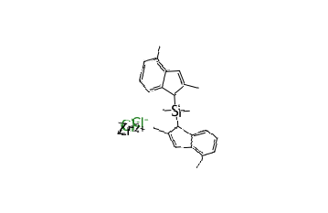 CC1=Cc2c(C)cccc2C1[Si](C)(C)C1C(C)=Cc2c(C)cccc21.[Cl-].[Cl-].[Zr+2]